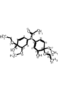 CCOC1(O)C=CC(N(C(C)=O)C2=CC(O)C(OC)(OCC)C=C2)=CC1OC